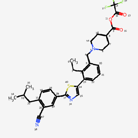 CCc1c(CN2CCC(C(=O)OC(=O)C(F)(F)F)CC2)cccc1-c1cnc(-c2ccc(CC(C)C)c(C#N)c2)s1